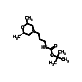 C[C@H]1CN(CCCNC(=O)OC(C)(C)C)C[C@H](C)O1